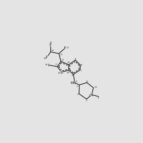 CN1CCC(Nc2cccc3c(C(F)C(F)F)c(I)sc23)CC1